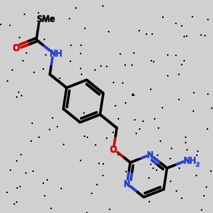 CSC(=O)NCc1ccc(COc2nccc(N)n2)cc1